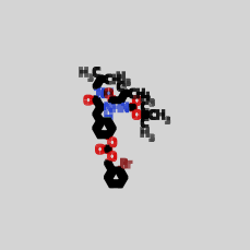 CC(C)CNC(=O)C(Cc1ccc(OC(=O)OCc2ccccc2Br)cc1)NC(=O)C(NC(=O)OC(C)(C)C)C(C)C